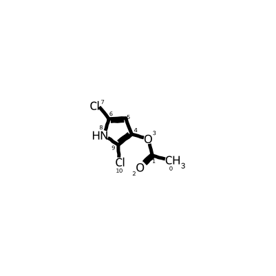 CC(=O)Oc1cc(Cl)[nH]c1Cl